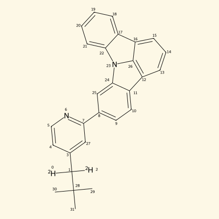 [2H]C([2H])(c1ccnc(-c2ccc3c4cccc5c6ccccc6n(c3c2)c54)c1)C(C)(C)C